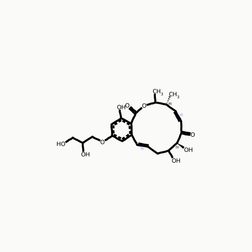 CC1OC(=O)c2c(O)cc(OCC(O)CO)cc2/C=C/CC(O)[C@H](O)C(=O)/C=C\[C@H]1C